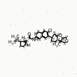 CN(C)C1CC[C@@H]2[C@@H](C(=O)Nc3cc4cc(C5CCN([C@]6(C)COC[C@@H]6O)CC5)c(Cl)cc4cn3)[C@H]12